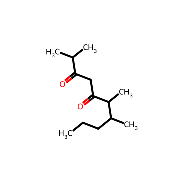 CCCC(C)C(C)C(=O)CC(=O)C(C)C